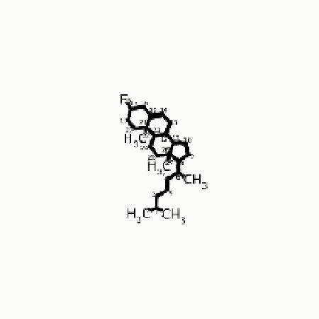 CC(C)CCCC(C)C1CCC2C3CC=C4CC(F)CCC4(C)C3CCC12C